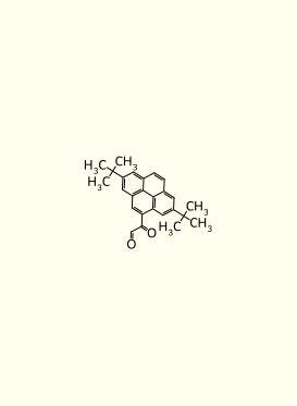 CC(C)(C)c1cc2ccc3cc(C(C)(C)C)cc4c(C(=O)C=O)cc(c1)c2c34